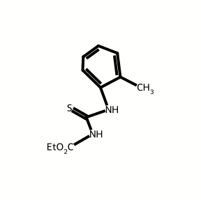 CCOC(=O)NC(=S)Nc1ccccc1C